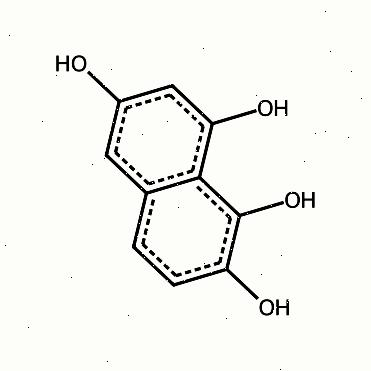 Oc1cc(O)c2c(O)c(O)ccc2c1